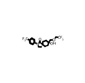 O=C1N(c2ccc(C(F)(F)F)cc2)CC[C@]12CC[C@@](O)(COCC(F)(F)F)CC2